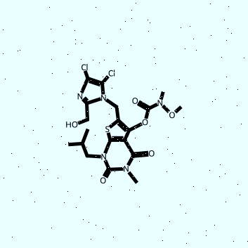 CON(C)C(=O)Oc1c(Cn2c(CO)nc(Cl)c2Cl)sc2c1c(=O)n(C)c(=O)n2CC(C)C